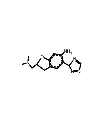 CN(C)CC1Cc2cc(C3N=CN=N3)c(N)cc2O1